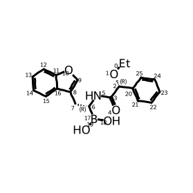 CCO[C@@H](C(=O)N[C@@H](Cc1coc2ccccc12)B(O)O)c1ccccc1